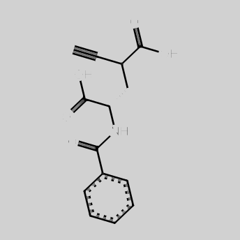 C#CC(C[C@H](NC(=O)c1ccccc1)C(=O)O)C(=O)O